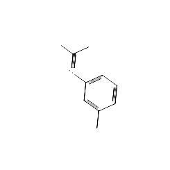 CCC(C)=Nc1cccc(C)c1